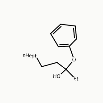 CCCCCCCCCC(O)(CC)Oc1ccccc1